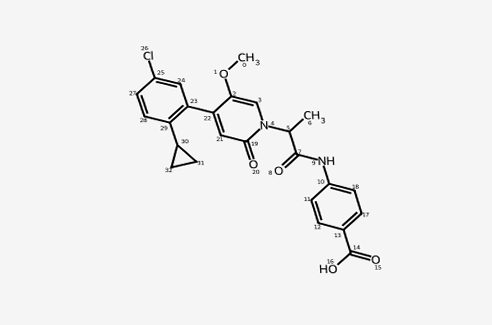 COc1cn(C(C)C(=O)Nc2ccc(C(=O)O)cc2)c(=O)cc1-c1cc(Cl)ccc1C1CC1